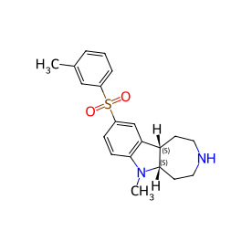 Cc1cccc(S(=O)(=O)c2ccc3c(c2)[C@@H]2CCNCC[C@@H]2N3C)c1